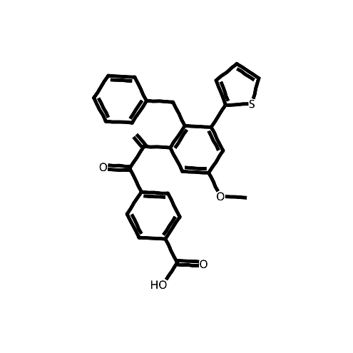 C=C(C(=O)c1ccc(C(=O)O)cc1)c1cc(OC)cc(-c2cccs2)c1Cc1ccccc1